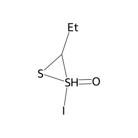 CCC1S[SH]1(=O)I